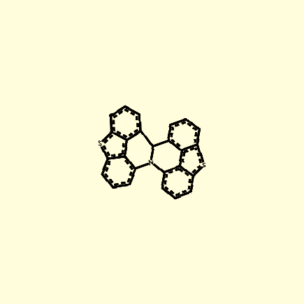 c1cc2c3c(c1)sc1cccc(c13)N1c3cccc4sc5cccc(c5c34)C21